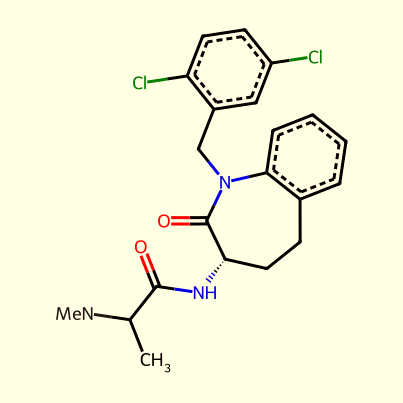 CNC(C)C(=O)N[C@H]1CCc2ccccc2N(Cc2cc(Cl)ccc2Cl)C1=O